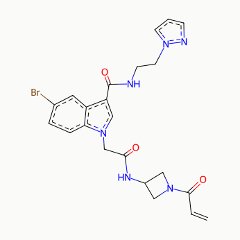 C=CC(=O)N1CC(NC(=O)Cn2cc(C(=O)NCCn3cccn3)c3cc(Br)ccc32)C1